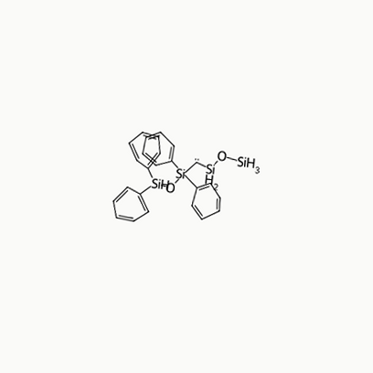 [SiH3]O[SiH2][C][Si](O[SiH](c1ccccc1)c1ccccc1)(c1ccccc1)c1ccccc1